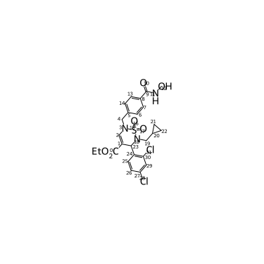 CCOC(=O)C1=CN(Cc2ccc(C(=O)NO)cc2)S(=O)(=O)N(CC2CC2)C1c1ccc(Cl)cc1Cl